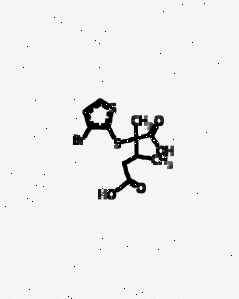 CC(CC(=O)O)C(C)(Sc1sccc1Br)C(=O)O